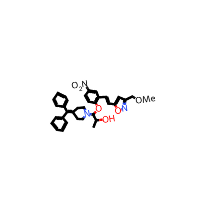 COCc1cc(/C=C/c2cc([N+](=O)[O-])ccc2OC(C(C)O)N2CCC(=C(c3ccccc3)c3ccccc3)CC2)on1